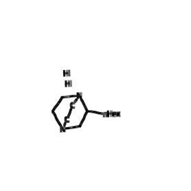 CCCCCCC1CN2CCN1CC2.I.I